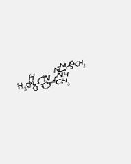 CNC(=O)c1ccnc2c([C@H](C)CNc3cc(-c4ccc(C)s4)ncn3)cccc12